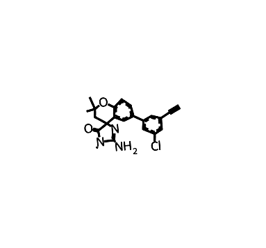 C#Cc1cc(Cl)cc(-c2ccc3c(c2)C2(CC(C)(C)O3)N=C(N)N(C)C2=O)c1